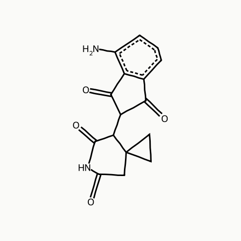 Nc1cccc2c1C(=O)C(C1C(=O)NC(=O)CC13CC3)C2=O